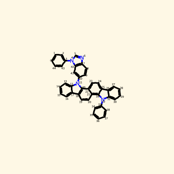 c1ccc(-n2cnc3ccc(-n4c5ccccc5c5ccc6c(ccc7c8ccccc8n(-c8ccccc8)c76)c54)cc32)cc1